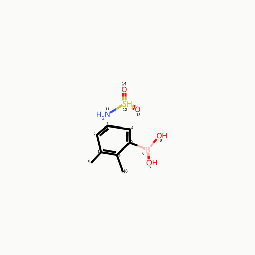 Cc1cccc(B(O)O)c1C.N[SH](=O)=O